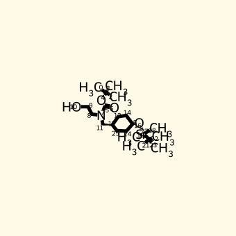 CC(C)(C)OC(=O)N(CCO)C[C@H]1CC[C@H](O[Si](C)(C)C(C)(C)C)CC1